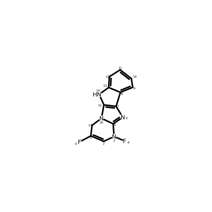 FC1=CN(F)c2nc3c4ccccc4[nH]c3n2C1